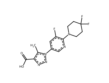 Cc1c(C(=O)O)nnn1-c1cnc(N2CCC(F)(F)CC2)c(F)c1